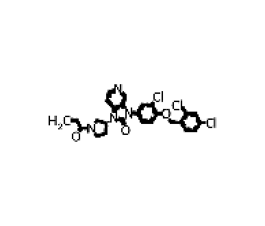 C=CC(=O)N1CC[C@@H](n2c(=O)n(-c3ccc(OCc4ccc(Cl)cc4Cl)c(Cl)c3)c3cnccc32)C1